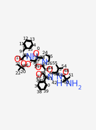 CO[C@H]([C@@H](C)C(=O)N[C@@H](Cc1ccccc1)C(=O)OC(C)(C)C)[C@@H]1CCCN1C(=O)C[C@@H](OC)[C@H](c1ccccc1)N(C)C(=O)[C@@H](NC(=O)C(C)(C)N)C(C)C